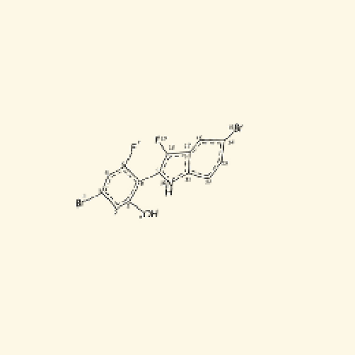 Oc1cc(Br)cc(F)c1-c1[nH]c2ccc(Br)cc2c1F